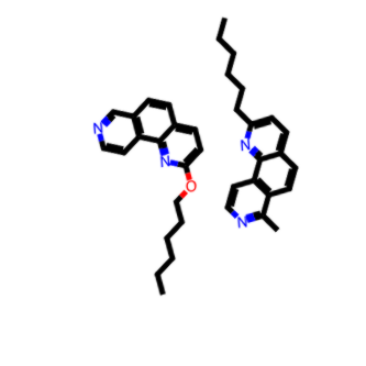 CCCCCCOc1ccc2ccc3cnccc3c2n1.CCCCCCc1ccc2ccc3c(C)nccc3c2n1